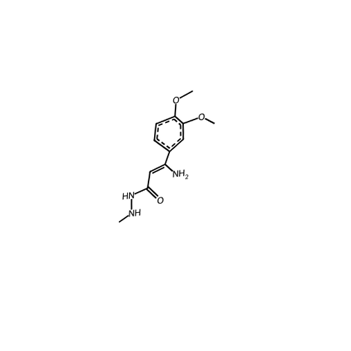 CNNC(=O)/C=C(\N)c1ccc(OC)c(OC)c1